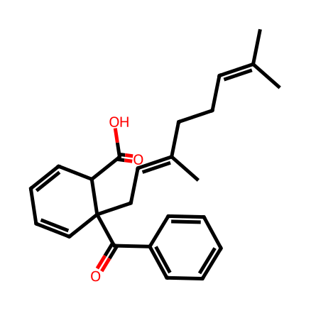 CC(C)=CCC/C(C)=C/CC1(C(=O)c2ccccc2)C=CC=CC1C(=O)O